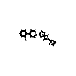 FC(F)(F)Oc1ccccc1C1CCN([C@@H]2CCC3(C2)CN(c2ncco2)C3)CC1